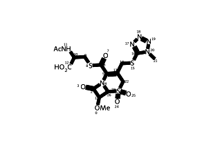 COC1C(=O)N2C(C(=O)SCC(NC(C)=O)C(=O)O)=C(CSc3nnnn3C)CS(=O)(=O)C12